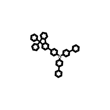 c1ccc(-c2ccc(N(c3ccc(-c4ccccc4)cc3)c3ccc(-c4ccc5c(c4)-c4ccccc4C5(c4ccccc4)c4ccccc4)cc3)cc2)cc1